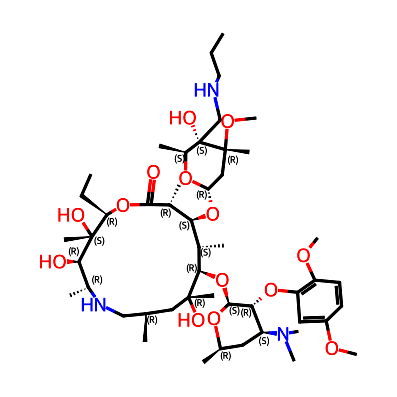 CCCNC[C@]1(O)[C@H](C)O[C@@H](O[C@H]2[C@H](C)[C@@H](O[C@@H]3O[C@H](C)C[C@H](N(C)C)[C@H]3Oc3cc(OC)ccc3OC)[C@](C)(O)C[C@@H](C)CN[C@H](C)[C@@H](O)[C@](C)(O)[C@@H](CC)OC(=O)[C@@H]2C)C[C@@]1(C)OC